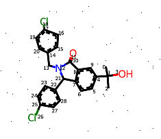 CC(C)(O)c1ccc2c(c1)C(=O)N(Cc1ccc(Cl)cc1)C2c1ccc(Cl)cc1